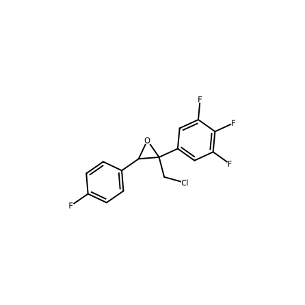 Fc1ccc(C2OC2(CCl)c2cc(F)c(F)c(F)c2)cc1